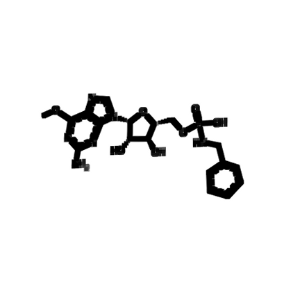 COc1nc(N)nc2c1ncn2[C@@H]1O[C@H](COP(=O)(O)NCc2ccccc2)[C@@H](O)[C@@H]1O